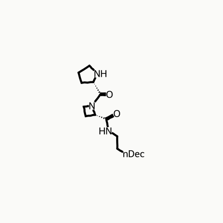 CCCCCCCCCCCCNC(=O)[C@@H]1CCN1C(=O)[C@@H]1CCCN1